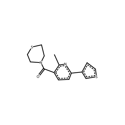 Cc1nc(-c2ccsc2)ccc1C(=O)N1CCSCC1